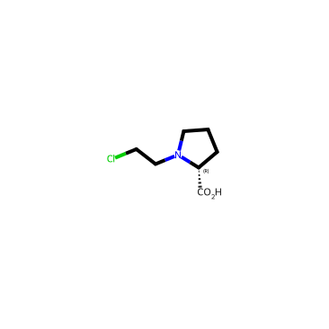 O=C(O)[C@H]1CCCN1CCCl